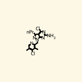 CCCc1nn(Cc2ncc(C)c(Cl)c2C)c2nc(N)nc(Cl)c12